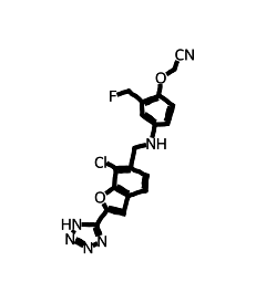 N#CCOc1ccc(NCc2ccc3cc(-c4nnn[nH]4)oc3c2Cl)cc1CF